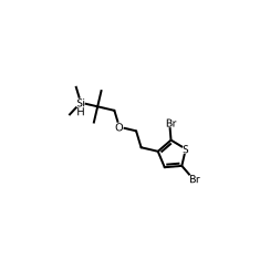 C[SiH](C)C(C)(C)COCCc1cc(Br)sc1Br